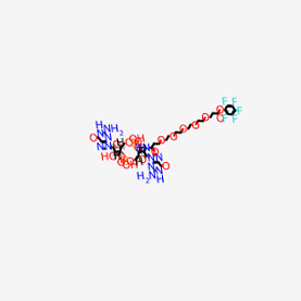 Nc1nc2c(ncn2[C@@H]2O[C@@H]3COP(=O)(O)O[C@@H]4[C@H](O)[C@H](n5cnc6c(=O)[nH]c(N)nc65)O[C@@H]4COP(=O)(O)O[C@@H]3C2NC(=O)CCOCCOCCOCCOCCOCCC(=O)Oc2c(F)c(F)c(F)c(F)c2F)c(=O)[nH]1